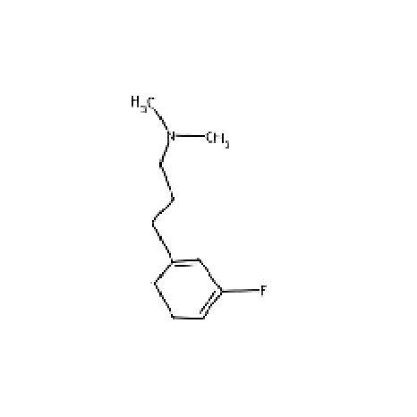 CN(C)CCCC1=CC(F)=CC[CH]1